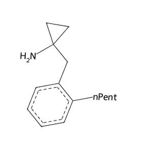 CCCCCc1ccccc1CC1(N)CC1